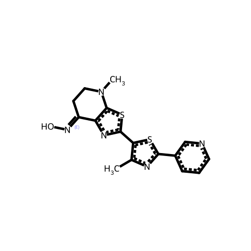 Cc1nc(-c2cccnc2)sc1-c1nc2c(s1)N(C)CC/C2=N\O